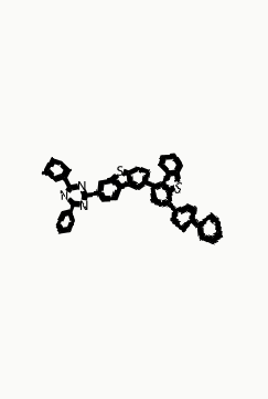 c1ccc(-c2ccc(-c3ccc(-c4ccc5sc6cc(-c7nc(-c8ccccc8)nc(-c8ccccc8)n7)ccc6c5c4)c4c3sc3ccccc34)cc2)cc1